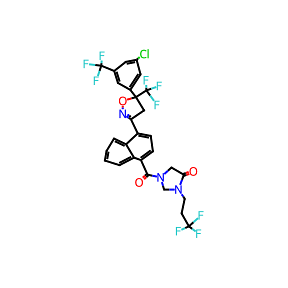 O=C1CN(C(=O)c2ccc(C3=NOC(c4cc(Cl)cc(C(F)(F)F)c4)(C(F)(F)F)C3)c3ccccc23)CN1CCC(F)(F)F